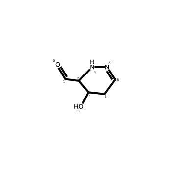 O=CC1NN=CCC1O